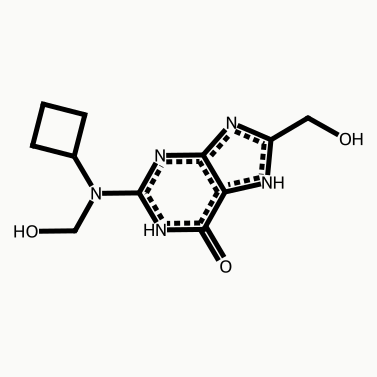 O=c1[nH]c(N(CO)C2CCC2)nc2nc(CO)[nH]c12